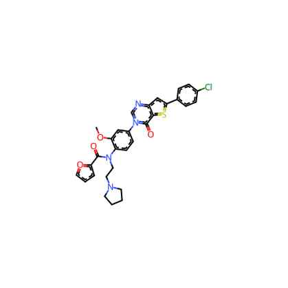 COc1cc(-n2cnc3cc(-c4ccc(Cl)cc4)sc3c2=O)ccc1N(CCN1CCCC1)C(=O)c1ccco1